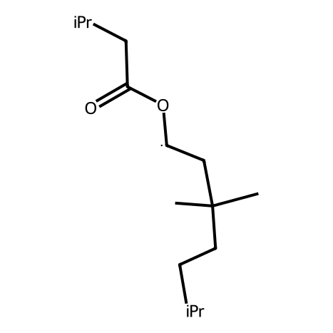 CC(C)CCC(C)(C)C[CH]OC(=O)CC(C)C